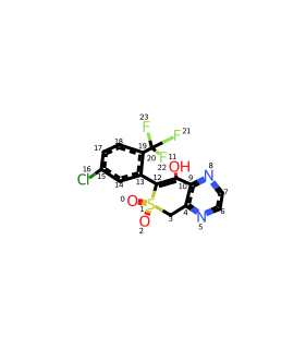 O=S1(=O)Cc2nccnc2C(O)=C1c1cc(Cl)ccc1C(F)(F)F